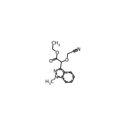 CCOC(=O)C(OCC#N)c1nn(C)c2ccccc12